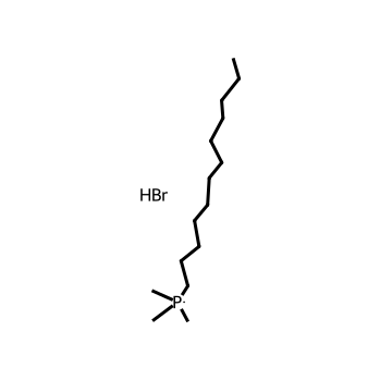 Br.CCCCCCCCCCCC[P](C)(C)C